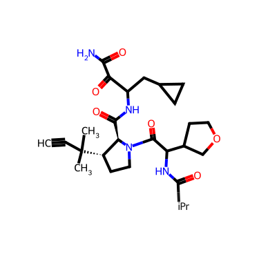 C#CC(C)(C)[C@H]1CCN(C(=O)C(NC(=O)C(C)C)C2CCOC2)[C@@H]1C(=O)NC(CC1CC1)C(=O)C(N)=O